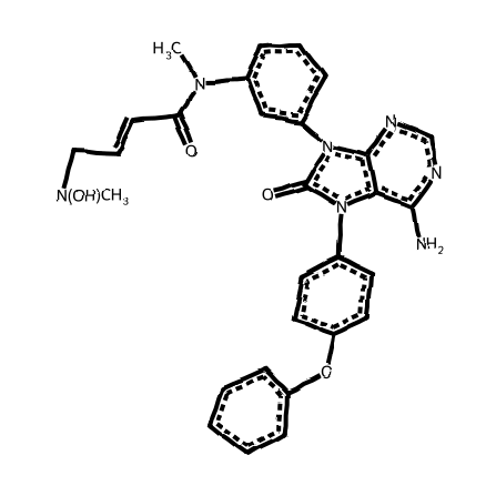 CN(O)C/C=C/C(=O)N(C)c1cccc(-n2c(=O)n(-c3ccc(Oc4ccccc4)cc3)c3c(N)ncnc32)c1